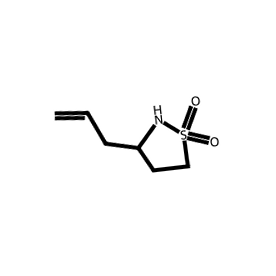 C=CCC1CCS(=O)(=O)N1